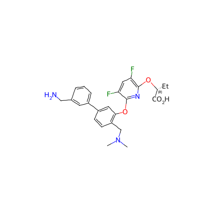 CC[C@@H](Oc1nc(Oc2cc(-c3cccc(CN)c3)ccc2CN(C)C)c(F)cc1F)C(=O)O